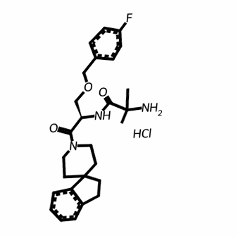 CC(C)(N)C(=O)N[C@H](COCc1ccc(F)cc1)C(=O)N1CCC2(CCc3ccccc32)CC1.Cl